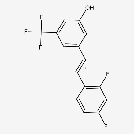 Oc1cc(/C=C/c2ccc(F)cc2F)cc(C(F)(F)F)c1